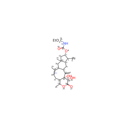 C=C1C2CC3C(C(C)C)C(OC(=O)NC(=O)OCC)CC3(C)CC2/C(C)=C\CC2C(C)OC(=O)C(O)C12O